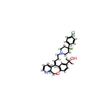 CC(C)(O)c1ccc2c(c1)C(=CCCN1CCC(F)(c3ccc(Cl)cc3)CC1)c1cccnc1CO2